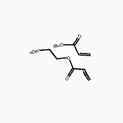 C=CC(=O)OCC(C)C.C=CC(=O)OCCCCCCCCCCCC